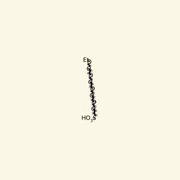 CCOCCOCCOCCOCCOCCOCCOCCOCCCS(=O)(=O)O